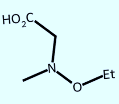 CCON(C)CC(=O)O